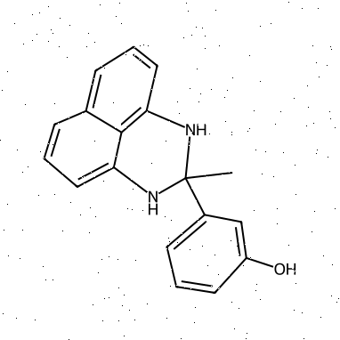 CC1(c2cccc(O)c2)Nc2cccc3cccc(c23)N1